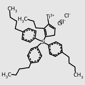 CCCCc1ccc([Si](C2=C(CCC)[C]([Ti+3])=CC2)(c2ccc(CCCC)cc2)c2ccc(CCCC)cc2)cc1.[Cl-].[Cl-].[Cl-]